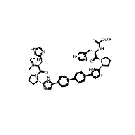 COC(=O)N[C@@H](Cc1c[nH]cn1)C(=O)N1CCC[C@H]1c1ncc(-c2ccc(-c3ccc(-c4cnc([C@@H]5CCCN5C(=O)[C@H](Cc5c[nH]cn5)N(C)C(=O)O)[nH]4)cc3)cc2)[nH]1